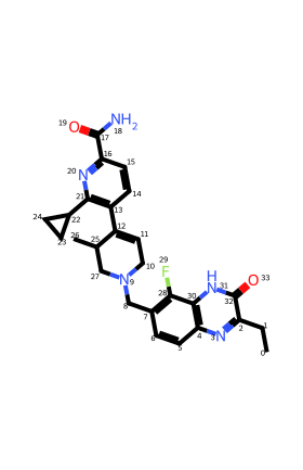 CCc1nc2ccc(CN3CC=C(c4ccc(C(N)=O)nc4C4CC4)C(C)C3)c(F)c2[nH]c1=O